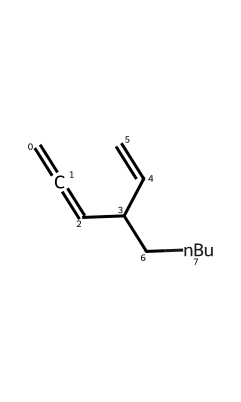 C=C=CC(C=C)CCCCC